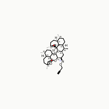 C#CCO/N=C(/C[C@H]1O[C@@H]2C[C@]3(C)CC[C@H]4[C@H](C)CC[C@@H]([C@H]1C)[C@@]24OO3)[C@H]1O[C@@H]2C[C@]3(C)CC[C@H]4[C@H](C)CC[C@@H]([C@H]1C)[C@@]24OO3